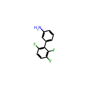 Nc1cccc(-c2c(F)ccc(F)c2F)c1